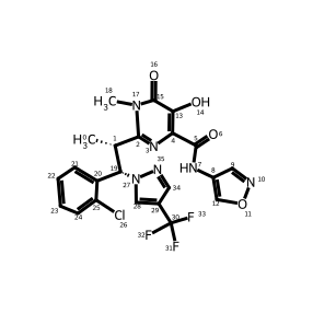 C[C@H](c1nc(C(=O)Nc2cnoc2)c(O)c(=O)n1C)[C@@H](c1ccccc1Cl)n1cc(C(F)(F)F)cn1